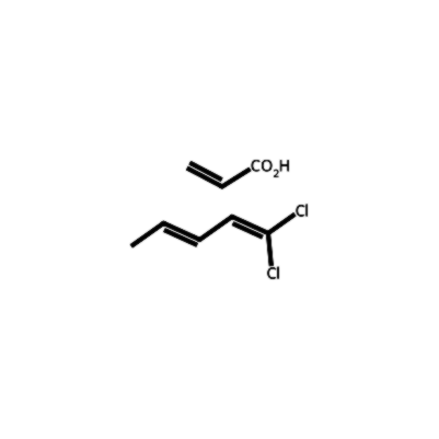 C/C=C/C=C(Cl)Cl.C=CC(=O)O